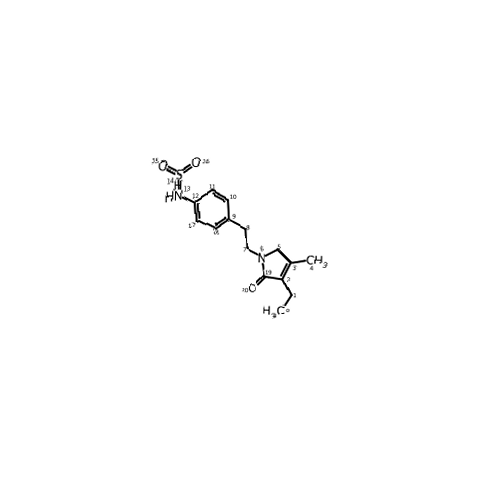 CCC1=C(C)CN(CCc2ccc(N[SH](=O)=O)cc2)C1=O